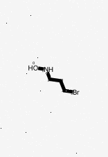 ONCCCBr